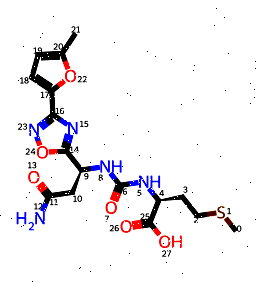 CSCC[C@H](NC(=O)N[C@@H](CC(N)=O)c1nc(-c2ccc(C)o2)no1)C(=O)O